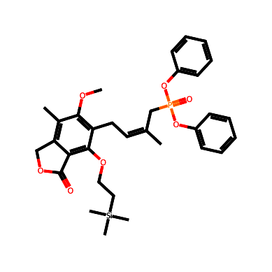 COc1c(C)c2c(c(OCC[Si](C)(C)C)c1CC=C(C)CP(=O)(Oc1ccccc1)Oc1ccccc1)C(=O)OC2